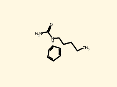 CCCCCNC(N)=O.c1ccccc1